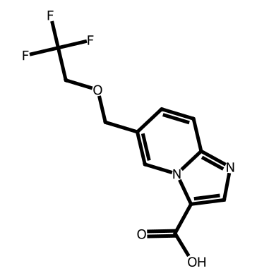 O=C(O)c1cnc2ccc(COCC(F)(F)F)cn12